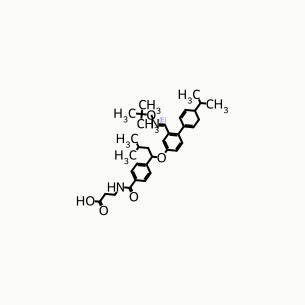 CC(C)CC(Oc1ccc(C2=CCC(C(C)C)C=C2)c(/C=N/OC(C)(C)C)c1)c1ccc(C(=O)NCCC(=O)O)cc1